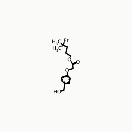 CCC(C)(C)CCCOC(=O)COc1ccc(CO)cc1